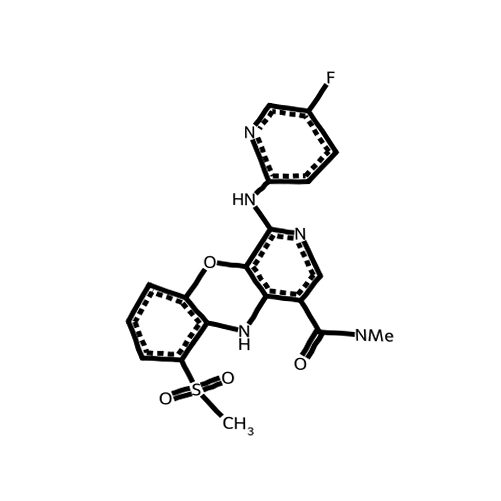 CNC(=O)c1cnc(Nc2ccc(F)cn2)c2c1Nc1c(cccc1S(C)(=O)=O)O2